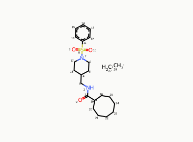 O=C(NCC1CCN(S(=O)(=O)c2ccccc2)CC1)[C]1CCCCCCC1.[CH2].[CH2]